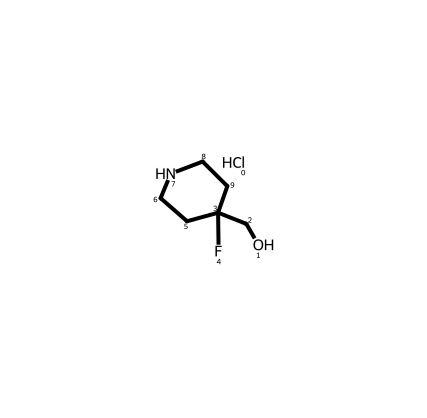 Cl.OCC1(F)CCNCC1